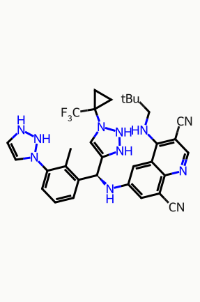 Cc1c([C@H](Nc2cc(C#N)c3ncc(C#N)c(NCC(C)(C)C)c3c2)C2=CN(C3(C(F)(F)F)CC3)NN2)cccc1N1C=CNN1